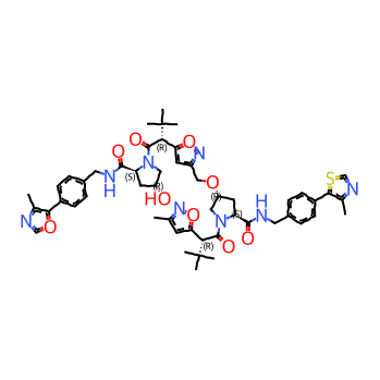 Cc1cc([C@H](C(=O)N2C[C@H](OCc3cc([C@H](C(=O)N4C[C@H](O)C[C@H]4C(=O)NCc4ccc(-c5ocnc5C)cc4)C(C)(C)C)on3)C[C@H]2C(=O)NCc2ccc(-c3scnc3C)cc2)C(C)(C)C)on1